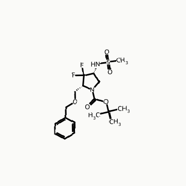 CC(C)(C)OC(=O)N1C[C@@H](NS(C)(=O)=O)C(F)(F)[C@H]1COCc1ccccc1